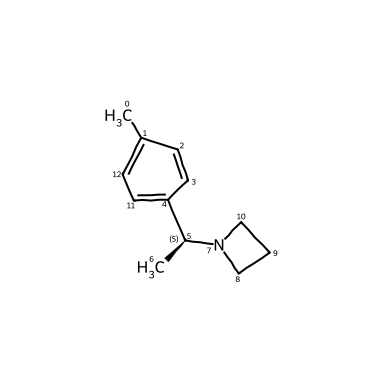 Cc1ccc([C@H](C)N2CCC2)cc1